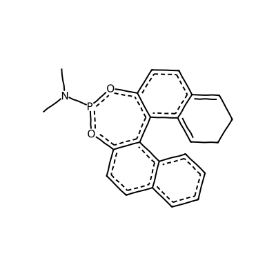 CN(C)p1oc2ccc3c(c2c2c(ccc4ccccc42)o1)=CCCC=3